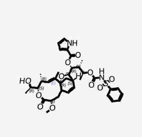 CO[C@H]1CC2C=C[C@@H]3C[C@]2(O[C@H]3[C@H](OC(=O)c2ccc[nH]2)[C@H](C)[C@H](C)OC(=O)NS(=O)(=O)c2ccccc2)/C(C)=C/[C@@H](C)[C@@H]([C@@H](C)O)OC1=O